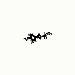 CC(C)(C)OC(=O)N1CC(c2cc(F)c(N)c(F)c2)C1